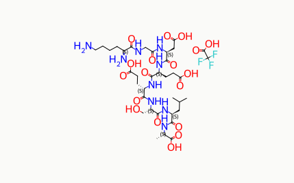 CC(C)C[C@H](NC(=O)[C@H](CO)NC(=O)[C@H](CCC(=O)O)NC(=O)[C@H](CCC(=O)O)NC(=O)[C@H](CC(=O)O)NC(=O)CNC(=O)[C@@H](N)CCCCN)C(=O)N[C@@H](C)C(=O)O.O=C(O)C(F)(F)F